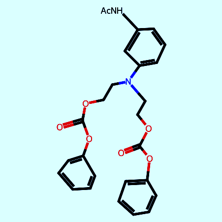 CC(=O)Nc1cccc(N(CCOC(=O)Oc2ccccc2)CCOC(=O)Oc2ccccc2)c1